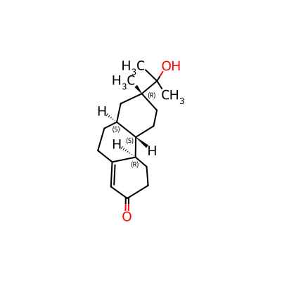 CC(C)(O)[C@]1(C)CC[C@H]2[C@@H](CCC3=CC(=O)CC[C@@H]32)C1